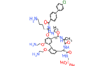 C[C@@H]1NC(=O)[C@@H](N(C)C(=O)[C@H](CCCCN)NC(=O)c2ccc(-c3ccc(Cl)cc3)cc2)c2ccc(OCCN)c(c2)-c2cc(ccc2OCCN)C[C@@H](C(=O)NCB(O)O)NC1=O